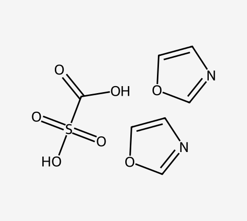 O=C(O)S(=O)(=O)O.c1cocn1.c1cocn1